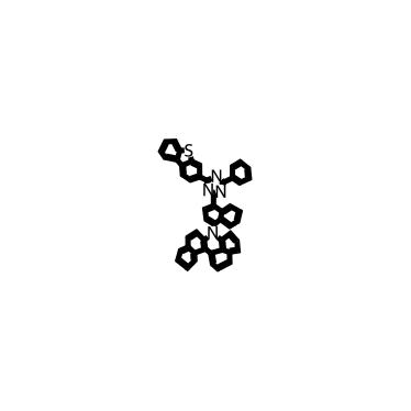 c1ccc(-c2nc(-c3ccc4c(c3)sc3ccccc34)nc(-c3ccc(N4c5ccc6ccccc6c5-c5cccc6cccc4c56)c4ccccc34)n2)cc1